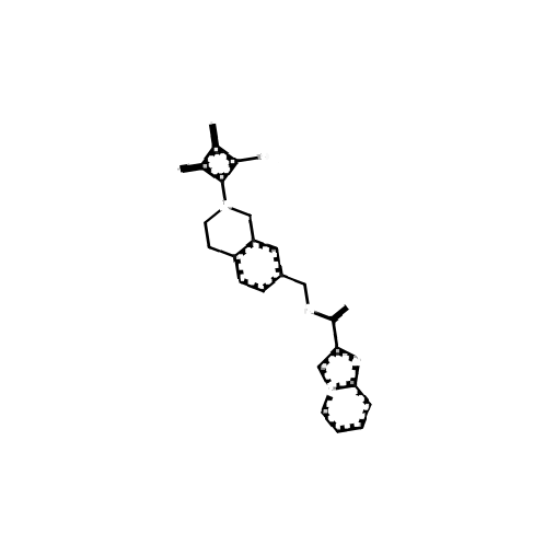 Nc1c(N2CCc3ccc(CNC(=O)c4cn5ccccc5n4)cc3C2)c(=O)c1=O